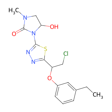 CCc1cccc(OC(CCl)c2nnc(N3C(=O)N(C)CC3O)s2)c1